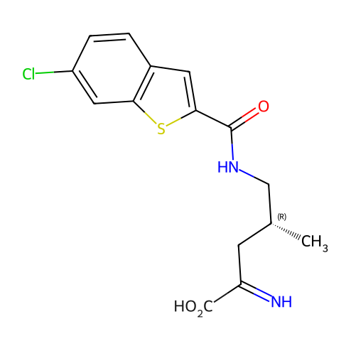 C[C@@H](CNC(=O)c1cc2ccc(Cl)cc2s1)CC(=N)C(=O)O